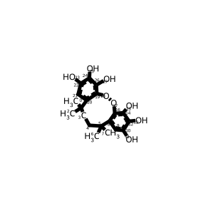 CC1(C)CCC(C)(C)c2cc(O)c(O)c(O)c2OOc2c1cc(O)c(O)c2O